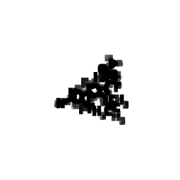 CC(C)(C)Cn1cc([C@H](NS(=O)(=O)C2CC2)C(F)F)c2cc(F)c(-c3cnc(C#N)cc3C(F)(F)F)cc21